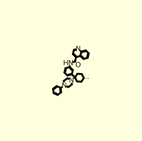 C[C@H]1CC[C@](c2cccc(NC(=O)c3ccnc4ccccc34)c2)(N2CCN(c3ccccc3)CC2)CC1